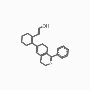 O/C=C/C1=C(C2=CC3=C(CC2)C(c2ccccc2)=NCC3)CCCC1